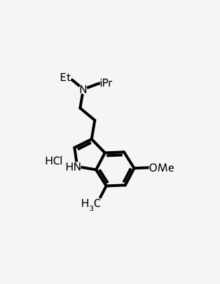 CCN(CCc1c[nH]c2c(C)cc(OC)cc12)C(C)C.Cl